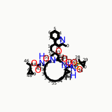 Cc1nc2ccccc2c2c1O[C@]1(CC2)C[C@H]2C(=O)N[C@]3(C(=O)NS(=O)(=O)C4(C)CC4)C[C@H]3/C=C\CCCCC[C@H](NC(=O)OC(C)C3CC3)C(=O)N2C1